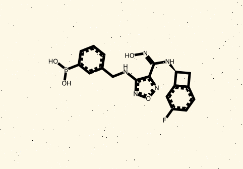 O/N=C(/N[C@H]1Cc2ccc(F)cc21)c1nonc1NCc1cccc(B(O)O)c1